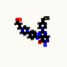 N#CCC1CCN(c2nc(Nc3ccc(N4CCN(CCCO)CC4)cc3)c3c(=O)[nH]ncc3n2)CC1